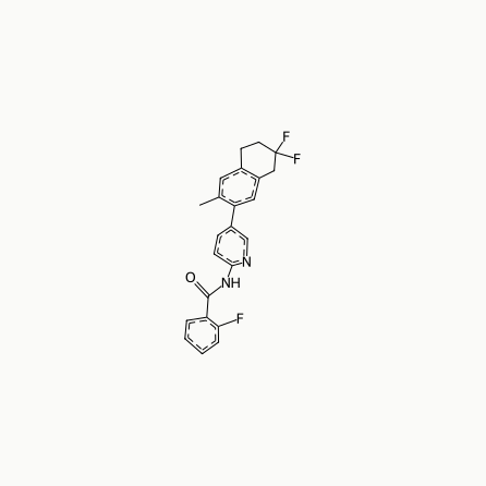 Cc1cc2c(cc1-c1ccc(NC(=O)c3ccccc3F)nc1)CC(F)(F)CC2